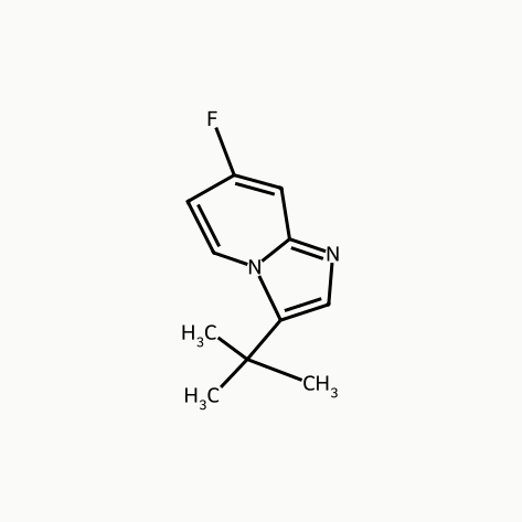 CC(C)(C)c1cnc2cc(F)ccn12